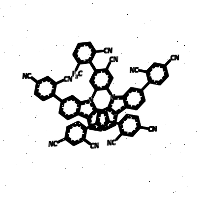 N#Cc1ccc(-c2ccc3c4ccc(-c5ccc(C#N)cc5C#N)cc4n(-c4cc(C#N)c(-c5c(C#N)cccc5C(F)(F)F)cc4-n4c5cc(-c6ccc(C#N)cc6C#N)ccc5c5ccc(-c6ccc(C#N)cc6C#N)cc54)c3c2)c(C#N)c1